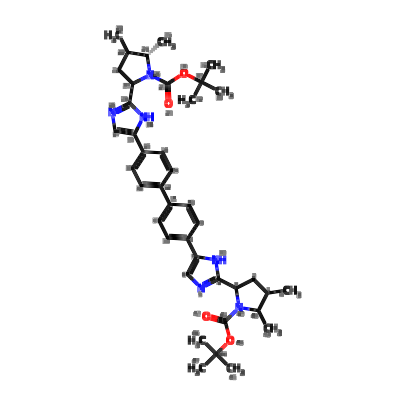 CC1CC(c2ncc(-c3ccc(-c4ccc(-c5cnc(C6CC(C)[C@H](C)N6C(=O)OC(C)(C)C)[nH]5)cc4)cc3)[nH]2)N(C(=O)OC(C)(C)C)C1C